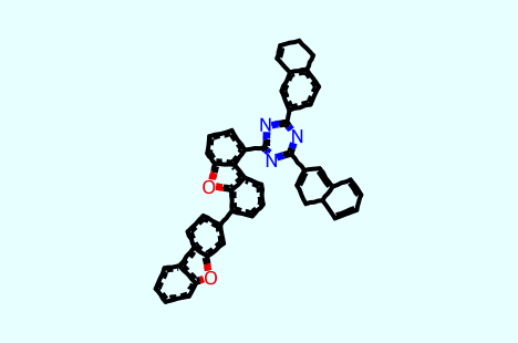 C1=CC2=CC(c3nc(-c4ccc5c(c4)C=CCC5)nc(-c4cccc5oc6c(-c7ccc8c(c7)oc7ccccc78)cccc6c45)n3)=CCC2C=C1